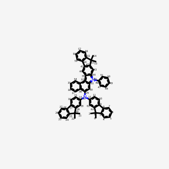 CC1(C)c2ccccc2-c2ccc(N(c3ccc4c(c3)C(C)(C)c3ccccc3-4)c3cc4c(c5ccccc35)c3cc5c(cc3n4-c3ccccc3)C(C)(C)c3ccccc3-5)cc21